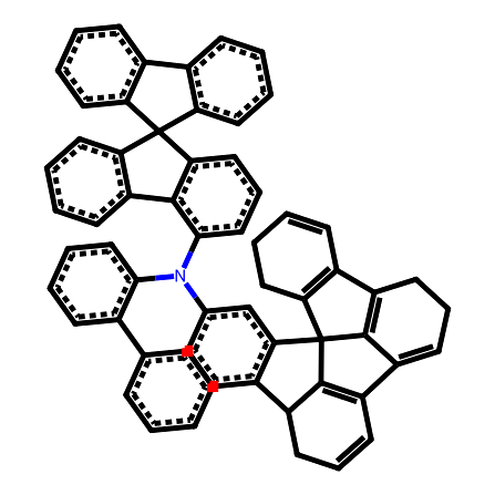 C1=CC2=C(CC1)C13C4=C2CCC=C4C2=C1C(CC=C2)c1ccc(N(c2ccccc2-c2ccccc2)c2cccc4c2-c2ccccc2C42c4ccccc4-c4ccccc42)cc13